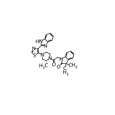 C[C@@H]1CN(c2scnc2-c2nc3ccccc3[nH]2)CCN1C(=O)CN1C(=O)C(C)(C)c2ccccc21